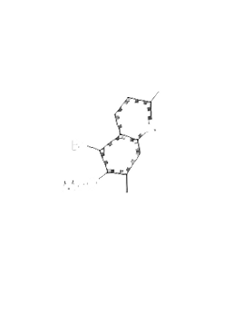 COc1c(C)cc2nc(C)ccc2c1Br